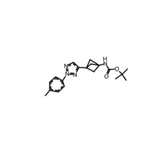 Cc1ccc(-n2ncc(C34CC(NC(=O)OC(C)(C)C)(C3)C4)n2)cc1